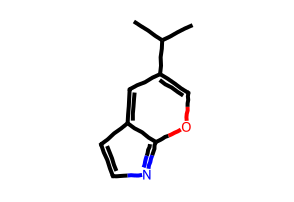 CC(C)c1coc2nccc-2c1